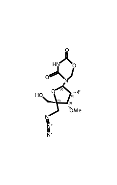 CO[C@H]1[C@@H](F)[C@H](N2COC(=O)NC2=O)O[C@@]1(CO)CN=[N+]=[N-]